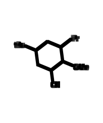 COC1C(C#N)CC(C(C)(C)C)CC1C(C)C